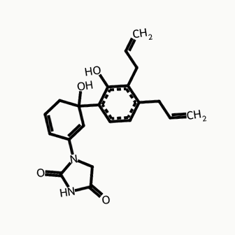 C=CCc1ccc(C2(O)C=C(N3CC(=O)NC3=O)C=CC2)c(O)c1CC=C